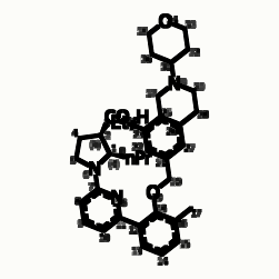 CCC[C@@H]1[C@H](C(=O)O)CCN1c1cccc(-c2cccc(C)c2OCc2cc(CC)c3c(c2)CCN(C2CCOCC2)C3)n1